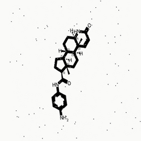 C[C@]12C=CC(=O)N[C@@H]1CC[C@@H]1[C@@H]2CC[C@]2(C)[C@@H](C(=O)Nc3ccc(N)cc3)CC[C@@H]12